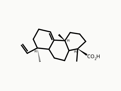 C=C[C@@]1(C)CCC=C2C1CCC1[C@](C)(C(=O)O)CCC[C@@]21C